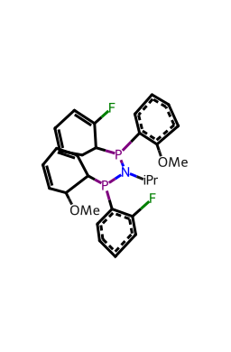 COc1ccccc1P(C1CC=CC=C1F)N(C(C)C)P(c1ccccc1F)C1C=CC=CC1OC